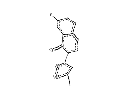 Cc1cc(-n2ccc3ccc(F)cc3c2=O)n[nH]1